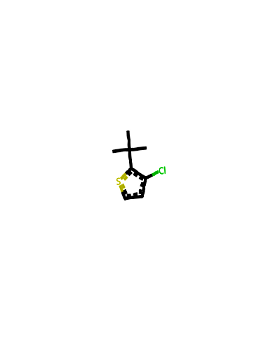 CC(C)(C)c1sccc1Cl